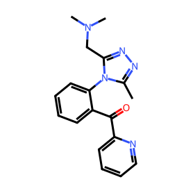 Cc1nnc(CN(C)C)n1-c1ccccc1C(=O)c1ccccn1